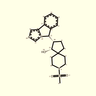 CS(=O)(=O)N1CCC2(CC[C@@H](C3c4ccccc4-c4cncn43)[C@H]2O)CC1